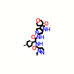 CCn1nccc1C(=O)N[C@H](C(=O)Nc1cc2c(cn1)C1(CCOCC1)C(=O)N2)[C@H]1CC[C@H](C)CC1